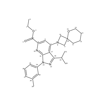 CCOC(=O)c1cc(N2CC3(CCCCO3)C2)c2c(C(C)C)nn(-c3cccc(C)c3)c2n1